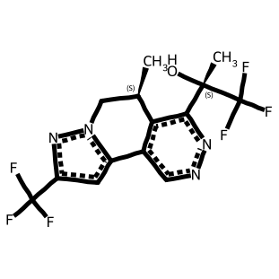 C[C@@H]1Cn2nc(C(F)(F)F)cc2-c2cnnc([C@](C)(O)C(F)(F)F)c21